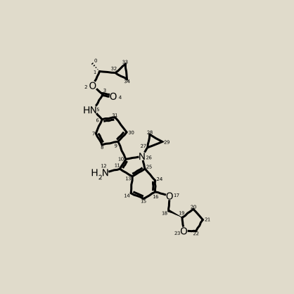 C[C@@H](OC(=O)Nc1ccc(-c2c(N)c3ccc(OC[C@H]4CCCO4)cc3n2C2CC2)cc1)C1CC1